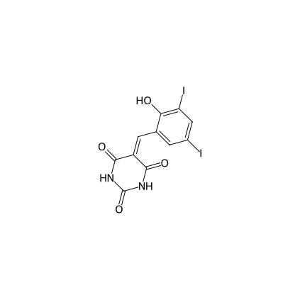 O=C1NC(=O)C(=Cc2cc(I)cc(I)c2O)C(=O)N1